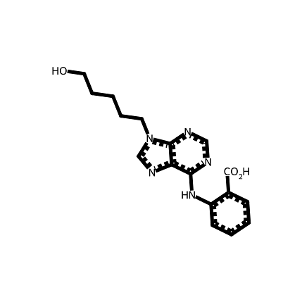 O=C(O)c1ccccc1Nc1ncnc2c1ncn2CCCCCO